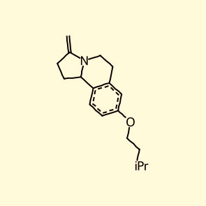 C=C1CCC2c3ccc(OCCC(C)C)cc3CCN12